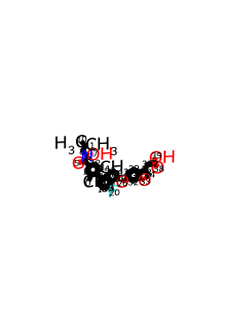 Cc1cc(C(=O)N(O)CC(C)C)cc(C)c1-c1ccc(F)c2c1CC[C@H]2Oc1ccc2c(c1)OCC2CC(=O)O